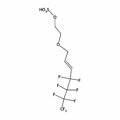 O=S(=O)(O)OCCOCC=CC(F)(F)C(F)(F)C(F)(F)C(F)(F)F